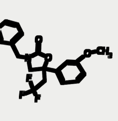 COc1cccc(C2(CC(F)(F)F)CN(Cc3ccccc3)C(=O)O2)c1